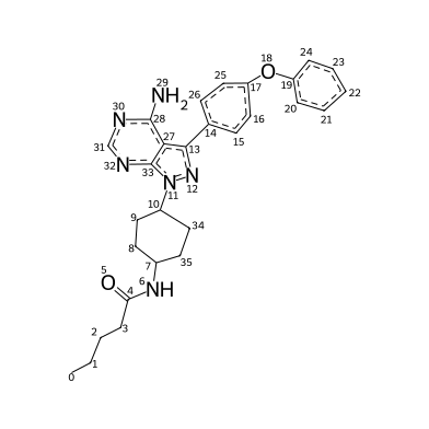 CCCCC(=O)NC1CCC(n2nc(-c3ccc(Oc4ccccc4)cc3)c3c(N)ncnc32)CC1